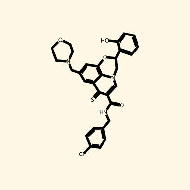 O=C(NCc1ccc(Cl)cc1)c1cn2c3c(cc(CN4CCOCC4)cc3c1=S)OC(c1ccccc1O)C2